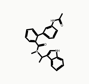 CC(=O)Nc1cccc(-c2ccccc2C(=O)N(C)C(C)c2c[nH]c3ccccc23)c1